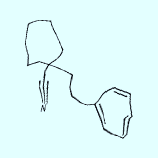 N#CC1(CCc2ccccc2)CCCCC1